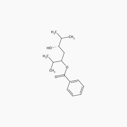 CC(C)C(C[C@H](O)C(C)C)OC(=O)c1ccccc1